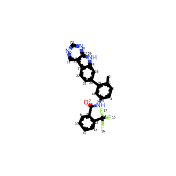 Cc1ccc(NC(=O)c2ccccc2C(F)(F)F)cc1-c1ccc2c(c1)[nH]c1ncncc12